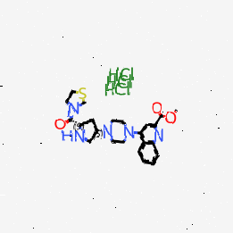 COC(=O)c1cc(N2CCN([C@@H]3CN[C@H](C(=O)N4CCSC4)C3)CC2)c2ccccc2n1.Cl.Cl.Cl